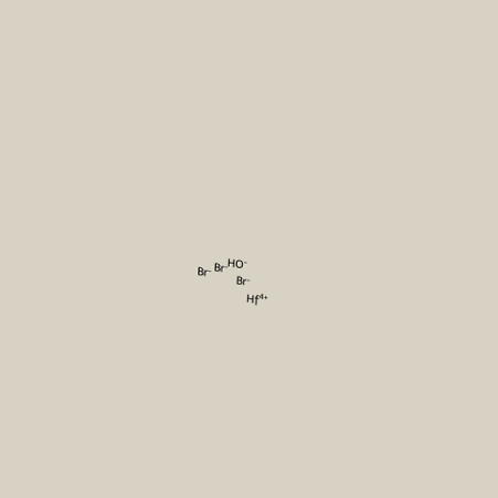 [Br-].[Br-].[Br-].[Hf+4].[OH-]